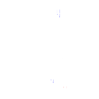 [O-][n+]1cccc2cc3c(cc21)CCNC3